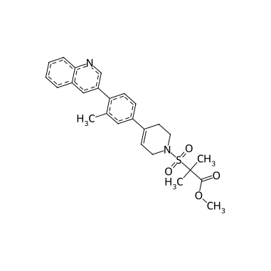 COC(=O)C(C)(C)S(=O)(=O)N1CC=C(c2ccc(-c3cnc4ccccc4c3)c(C)c2)CC1